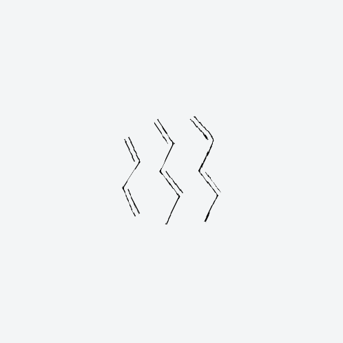 C=CC=C.C=CC=CC.C=CC=CC